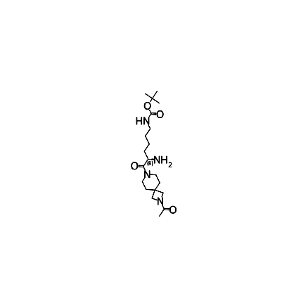 CC(=O)N1CC2(CCN(C(=O)[C@H](N)CCCCNC(=O)OC(C)(C)C)CC2)C1